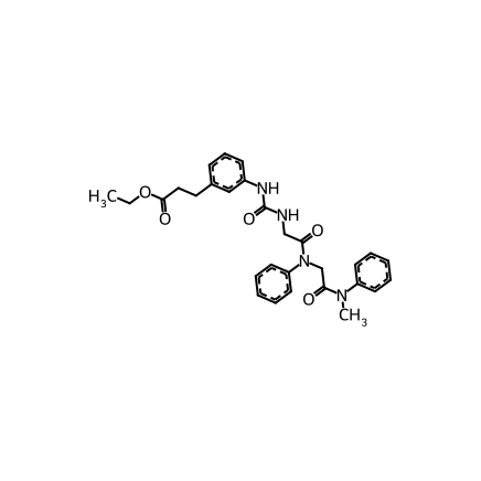 CCOC(=O)CCc1cccc(NC(=O)NCC(=O)N(CC(=O)N(C)c2ccccc2)c2ccccc2)c1